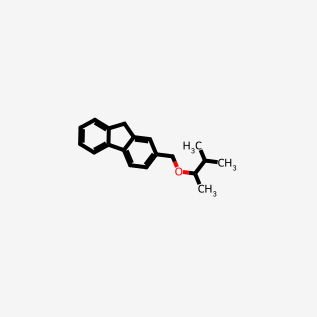 CC(C)C(C)OCc1ccc2c(c1)Cc1ccccc1-2